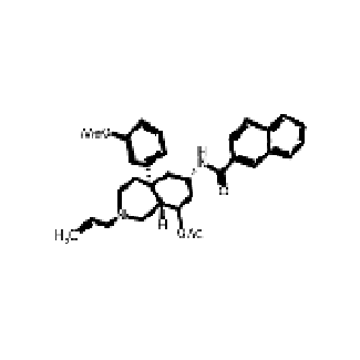 C=CCN1CC[C@@]2(c3cccc(OC)c3)C[C@H](NC(=O)c3ccc4ccccc4c3)CC(OC(C)=O)[C@@H]2C1